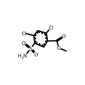 COC(=O)c1cc(S(N)(=O)=O)c(Cl)cc1Cl